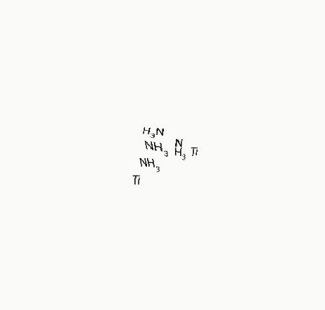 N.N.N.N.[Ti].[Ti]